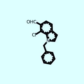 O=Cc1ccc2ccn(Cc3ccccc3)c2c1Cl